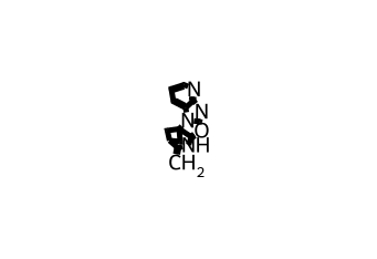 C=C1NC(=O)C2(n3cnc4ncccc43)CC1C2